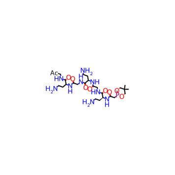 CC(=O)CNC(=O)C(CCN)NC(=O)CNC(=O)C(CCN)NC(=O)CNC(=O)[C@H](CCN)NC(=O)CP1OCC(C)(C)CO1